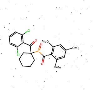 COc1cc(OC)c(C(=O)[P](=O)C2(C(=O)c3c(Cl)cccc3Cl)CCCCC2)c(OC)c1